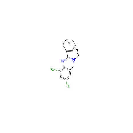 Clc1cc(Cl)c2c(c1)CN1C(=N2)C2CC3CC(C2)CC1C3